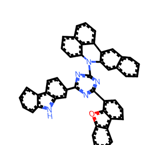 c1ccc2cc3c(cc2c1)-c1cccc2cccc(c12)N3c1nc(-c2ccc3c(c2)[nH]c2ccccc23)nc(-c2cccc3c2oc2ccccc23)n1